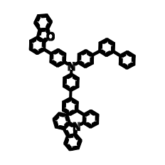 c1ccc(-c2cccc(-c3ccc(N(c4ccc(-c5cccc(-c6ccccc6-n6c7ccccc7c7ccccc76)c5)cc4)c4ccc(-c5cccc6c5oc5ccccc56)cc4)cc3)c2)cc1